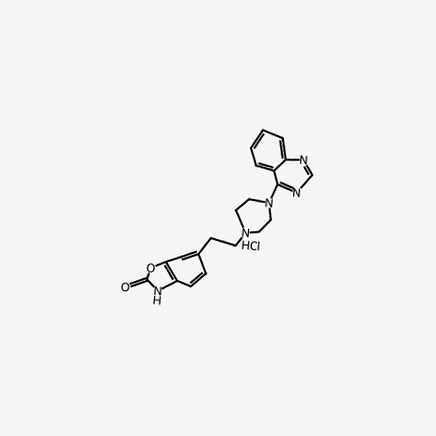 Cl.O=c1[nH]c2ccc(CCN3CCN(c4ncnc5ccccc45)CC3)cc2o1